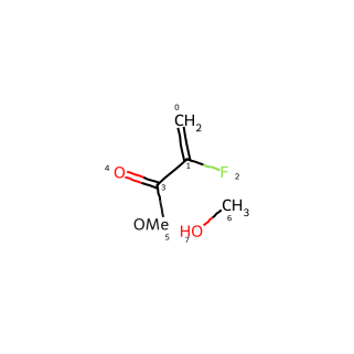 C=C(F)C(=O)OC.CO